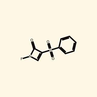 O=C1C(S(=O)(=O)c2ccccc2)=CN1F